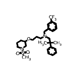 CC(C)(CN(CCCOC1CCCN(S(C)(=O)=O)C1)Cc1cccc(C(F)(F)F)c1)c1ccccc1